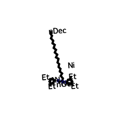 CCCCCCCCCCCCCCCCCCCCCCCCCCCCCCC(=N\c1cc(CC)cc(CC)c1)/C(CCCCCCCC)=N/c1cc(CC)cc(CC)c1.[Ni]